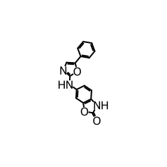 O=c1[nH]c2ccc(Nc3ncc(-c4ccccc4)o3)cc2o1